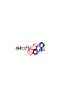 CCCCCCOC(=O)Oc1c2n(ccc1=O)N[C@@H]1CCCCN1C2=O